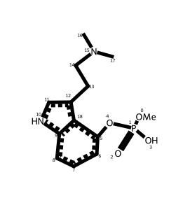 COP(=O)(O)Oc1cccc2[nH]cc(CCN(C)C)c12